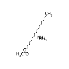 CCCCCCCCCCCCCCCCCCOC(C)=O.N.N